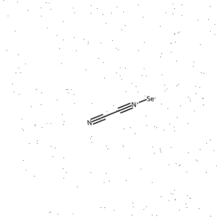 N#CC#[N+][Se-]